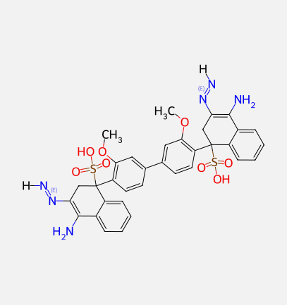 [H]/N=N/C1=C(N)c2ccccc2C(c2ccc(-c3ccc(C4(S(=O)(=O)O)CC(/N=N/[H])=C(N)c5ccccc54)c(OC)c3)cc2OC)(S(=O)(=O)O)C1